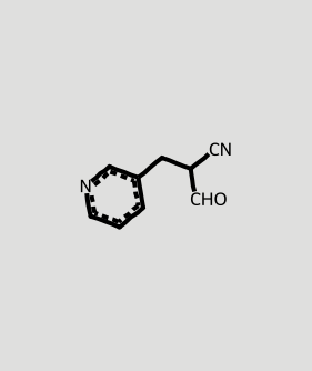 N#CC(C=O)Cc1cccnc1